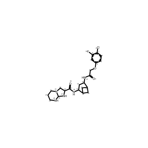 O=C(COc1ccc(Cl)c(F)c1)NC1CC(NC(=O)C2CN3CCCNC3N2)C2CC1C2